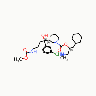 CNC[C@H](CC1CCCCC1)OC(=O)N1CCC[C@@H]([C@@](O)(CCCNC(=O)OC)c2cccc(Cl)c2)C1